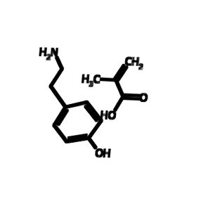 C=C(C)C(=O)O.NCCc1ccc(O)cc1